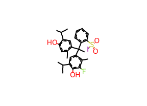 Cc1cc(O)c(C(C)C)cc1C(C)(c1ccccc1S(=O)(=O)I)c1cc(C(C)C)c(O)c(F)c1C